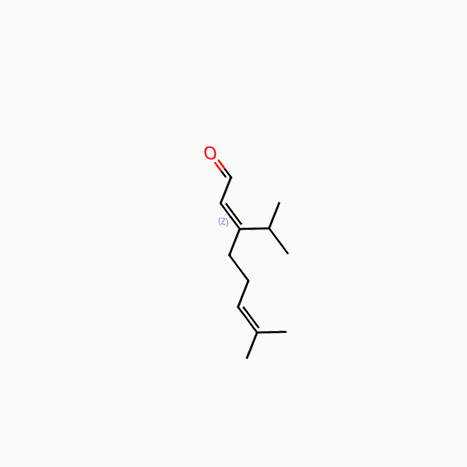 CC(C)=CCC/C(=C/C=O)C(C)C